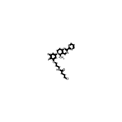 CC1c2cnc(-c3ncccn3)nc2CCN1c1cc(F)c(F)c(OCCCNC(=O)CCCCl)c1